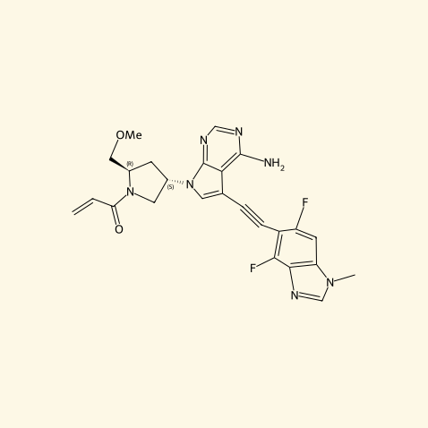 C=CC(=O)N1C[C@@H](n2cc(C#Cc3c(F)cc4c(ncn4C)c3F)c3c(N)ncnc32)C[C@@H]1COC